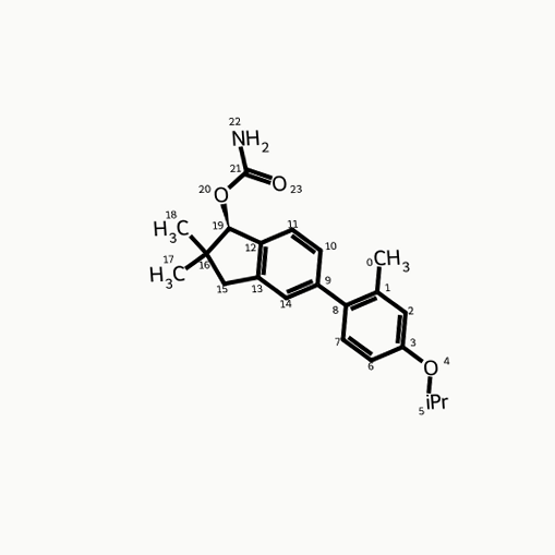 Cc1cc(OC(C)C)ccc1-c1ccc2c(c1)CC(C)(C)[C@H]2OC(N)=O